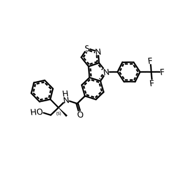 C[C@](CO)(NC(=O)c1ccc2c(c1)c1csnc1n2-c1ccc(C(F)(F)F)cc1)c1ccccc1